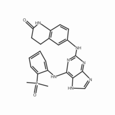 CP(C)(=O)c1ccccc1Nc1nc(Nc2ccc3c(c2)CCC(=O)N3)nc2nc[nH]c12